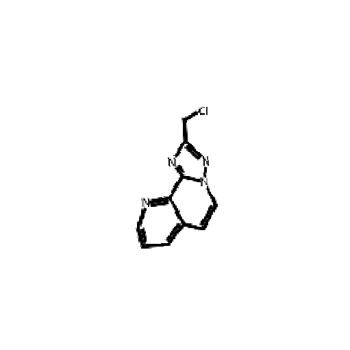 ClCc1nc2c3ncccc3ccn2n1